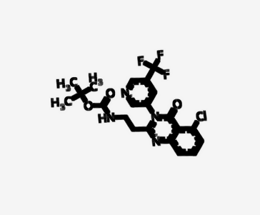 CC(C)(C)OC(=O)NCCc1nc2cccc(Cl)c2c(=O)n1-c1cncc(C(F)(F)F)c1